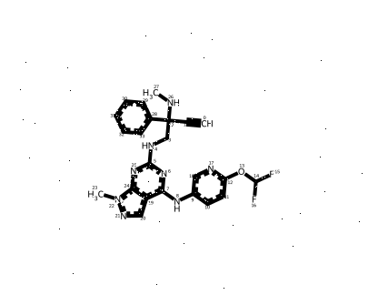 C#CC(CNc1nc(Nc2ccc(OC(F)F)nc2)c2cnn(C)c2n1)(NC)c1ccccc1